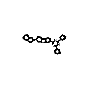 c1ccc(-c2nc(-c3ccccc3)nc(-c3ccc4c(c3)oc3cc(-c5ccc6ccccc6c5)ccc34)n2)cc1